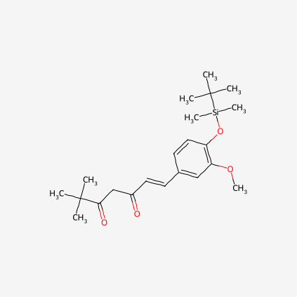 COc1cc(C=CC(=O)CC(=O)C(C)(C)C)ccc1O[Si](C)(C)C(C)(C)C